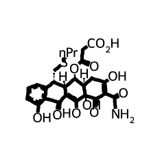 CCCSC[C@H]1c2cccc(O)c2C(=O)C2=C(O)[C@]3(O)C(=O)C(C(N)=O)=C(O)C[C@@H]3[C@@H](OC(=O)CC(=O)O)[C@@H]21